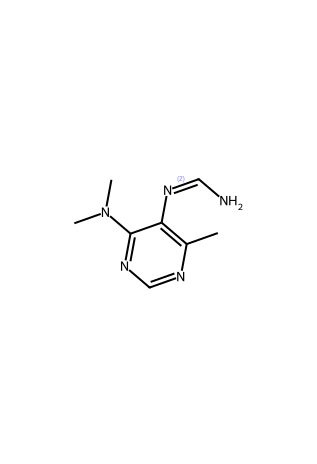 Cc1ncnc(N(C)C)c1/N=C\N